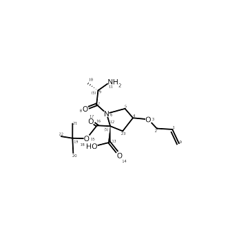 C=CCOC1CN(C(=O)[C@H](C)N)[C@@](C(=O)O)(C(=O)OC(C)(C)C)C1